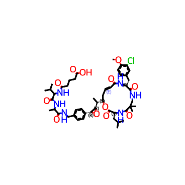 COc1ccc(C[C@H]2NC(=O)/C=C/C[C@@H](C(C)[C@H]3O[C@@H]3c3ccc(CNC(=O)C(C)NC(=O)C(NC(=O)CCCC(=O)O)C(C)C)cc3)OC(=O)[C@H](CC(C)C)NC(=O)C(C)(C)CNC2=O)cc1Cl